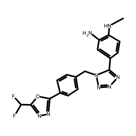 CNc1ccc(-c2nnnn2Cc2ccc(-c3nnc(C(F)F)o3)cc2)cc1N